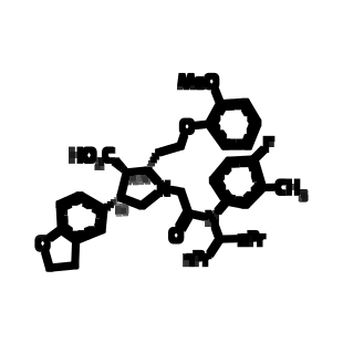 CCCC(CCC)N(C(=O)CN1C[C@H](c2ccc3c(c2)CCO3)[C@@H](C(=O)O)[C@@H]1CCOc1ccccc1OC)c1ccc(F)c(C)c1